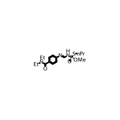 CCCSP(=O)(NC=Nc1ccc(C(=O)N(CC)CC)cc1)OC